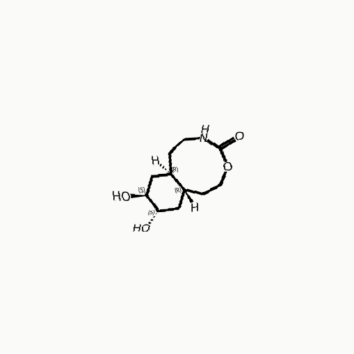 O=C1NCC[C@@H]2C[C@H](O)[C@@H](O)C[C@H]2CCO1